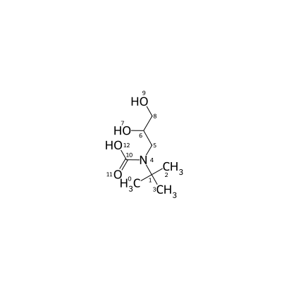 CC(C)(C)N(CC(O)CO)C(=O)O